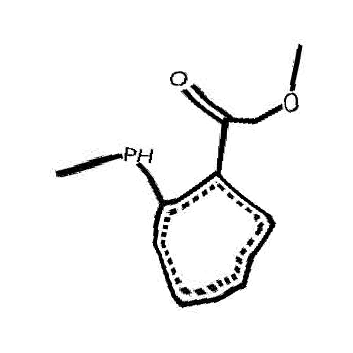 COC(=O)c1ccccc1PC